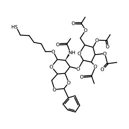 CC(=O)N[C@@H]1C(OCCCCCS)OC2COC(c3ccccc3)OC2C1OC1OC(COC(C)=O)C(OC(C)=O)C(OC(C)=O)C1OC(C)=O